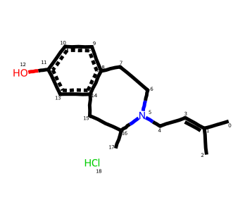 CC(C)=CCN1CCc2ccc(O)cc2CC1C.Cl